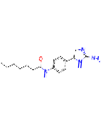 CCCCCCC(=O)Nc1ccc(C2CN=C(N)N2)cc1